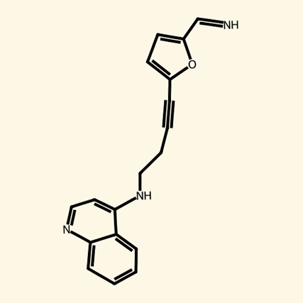 N=Cc1ccc(C#CCCNc2ccnc3ccccc23)o1